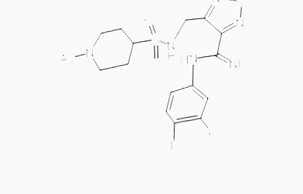 CC(=O)N1CCC(S(=O)(=O)NCc2nonc2C(=N)Nc2ccc(F)c(Cl)c2)CC1